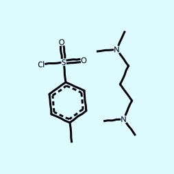 CN(C)CCCN(C)C.Cc1ccc(S(=O)(=O)Cl)cc1